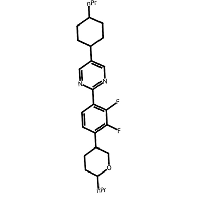 CCCC1CCC(c2cnc(-c3ccc(C4CCC(CCC)OC4)c(F)c3F)nc2)CC1